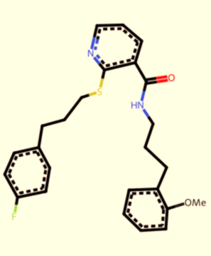 COc1ccccc1CCCNC(=O)c1cccnc1SCCCc1ccc(F)cc1